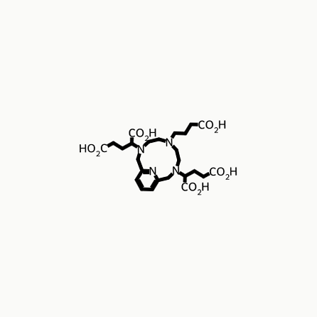 O=C(O)CCCN1CCN(C(CCC(=O)O)C(=O)O)Cc2cccc(n2)CN(C(CCC(=O)O)C(=O)O)CC1